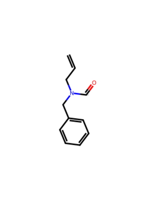 C=CCN([C]=O)Cc1ccccc1